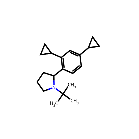 CC(C)(C)N1CCCC1c1ccc(C2CC2)cc1C1CC1